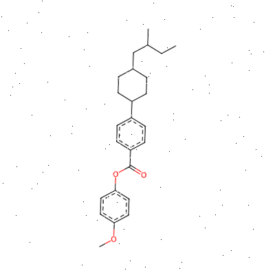 CCC(C)CC1CCC(c2ccc(C(=O)Oc3ccc(OC)cc3)cc2)CC1